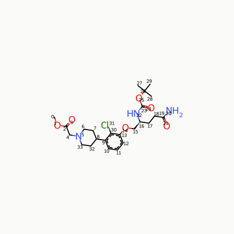 COC(=O)CN1CCC(c2cccc(OC[C@H](CCC(N)=O)NC(=O)OC(C)(C)C)c2Cl)CC1